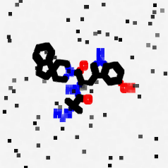 CC(C)(N)C(=O)N[C@H](Cc1c[nH]c2ccc(O)cc12)C(=O)N1CCC2(CCc3ccccc32)CC1